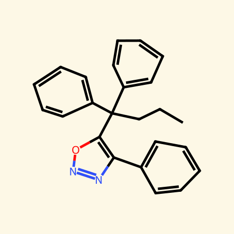 CCCC(c1ccccc1)(c1ccccc1)c1onnc1-c1ccccc1